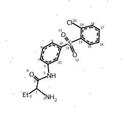 CCC(N)C(=O)Nc1cccc(S(=O)(=O)c2ccccc2Cl)c1